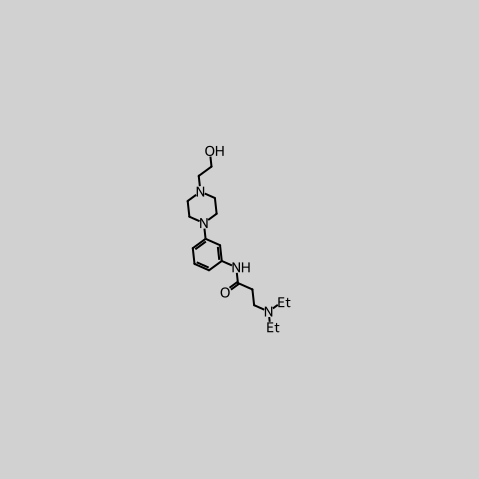 CCN(CC)CCC(=O)Nc1cccc(N2CCN(CCO)CC2)c1